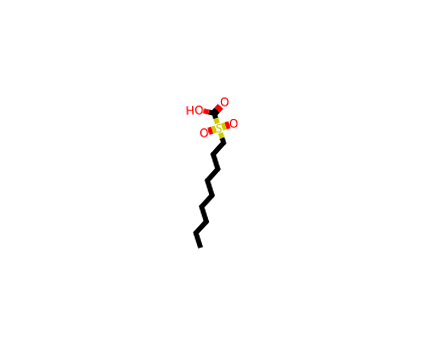 CCCCCCCCCS(=O)(=O)C(=O)O